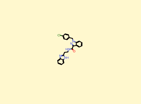 O=C(NCCc1nc2ccccc2[nH]1)c1nn(Cc2ccc(Cl)cc2)c2ccccc12